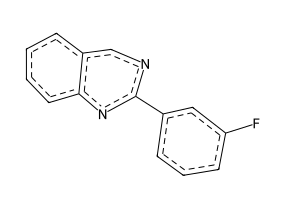 Fc1cccc(-c2ncc3ccccc3n2)c1